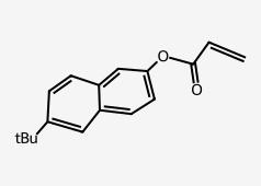 C=CC(=O)Oc1ccc2cc(C(C)(C)C)ccc2c1